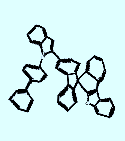 c1ccc(-c2ccc(-n3c(-c4ccc5c(c4)-c4ccccc4C54c5ccccc5-c5c4oc4ccccc54)cc4ccccc43)cc2)cc1